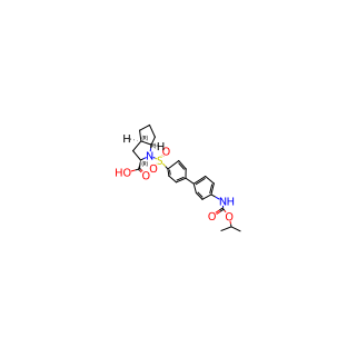 CC(C)OC(=O)Nc1ccc(-c2ccc(S(=O)(=O)N3[C@@H](C(=O)O)C[C@H]4CCC[C@H]43)cc2)cc1